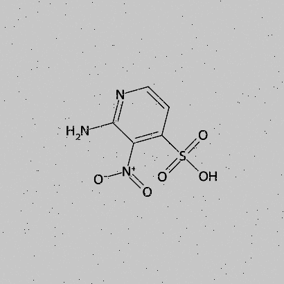 Nc1nccc(S(=O)(=O)O)c1[N+](=O)[O-]